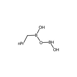 CCCCB(O)OBO